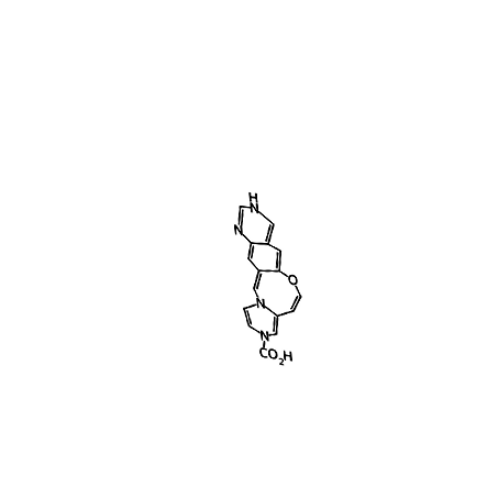 O=C(O)N1C=Cn2cc3cc4c(cc3occc2=C1)=CNC=N4